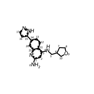 Nc1cc(NCC2CCOC2)c2ccc(-c3ccn[nH]3)cc2n1